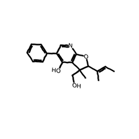 C/C=C(\C)C1Oc2ncc(-c3ccccc3)c(O)c2C1(C)CO